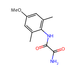 COc1cc(C)c(NC(=O)C(N)=O)c(C)c1